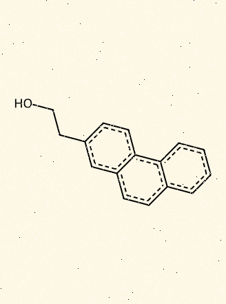 OCCc1ccc2c(ccc3ccccc32)c1